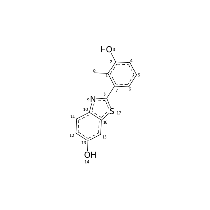 Cc1c(O)cccc1-c1nc2ccc(O)cc2s1